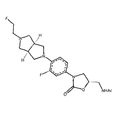 CC(=O)NC[C@H]1CN(c2ccc(N3C[C@H]4CN(CCF)C[C@H]4C3)c(F)c2)C(=O)O1